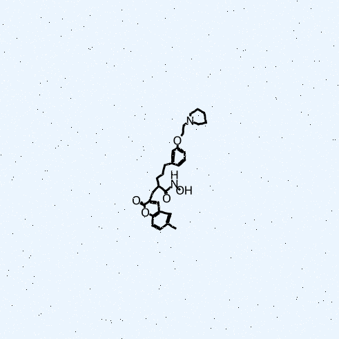 Cc1ccc2oc(=O)c(CC(CCCc3cccc(OCCN4CCCCC4)c3)C(=O)NO)cc2c1